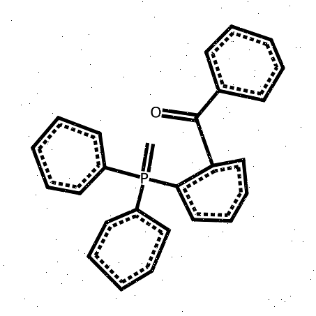 C=P(c1ccccc1)(c1ccccc1)c1ccccc1C(=O)c1ccccc1